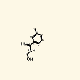 Cc1cccc(C(=N)NCO)c1